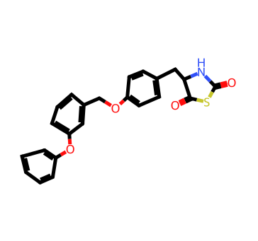 O=C1NC(Cc2ccc(OCc3cccc(Oc4ccccc4)c3)cc2)C(=O)S1